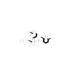 CCCC[C@@H](CO)Nc1nc(C)ncc1OCc1cccc(C)n1